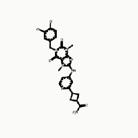 Cn1c(Nc2ccnc(C3CC(C(N)=O)C3)c2)nc2c1c(=O)n(Cc1ccc(Cl)c(Cl)c1)c(=O)n2C